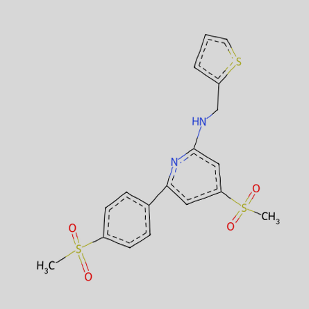 CS(=O)(=O)c1ccc(-c2cc(S(C)(=O)=O)cc(NCc3cccs3)n2)cc1